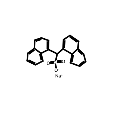 O=S(=O)([O-])C(c1cccc2ccccc12)c1cccc2ccccc12.[Na+]